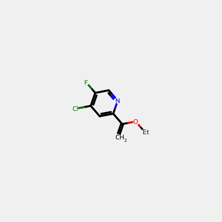 C=C(OCC)c1cc(Cl)c(F)cn1